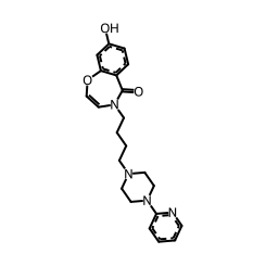 O=C1c2ccc(O)cc2OC=CN1CCCCN1CCN(c2ccccn2)CC1